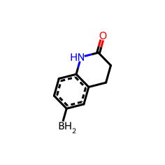 Bc1ccc2c(c1)CCC(=O)N2